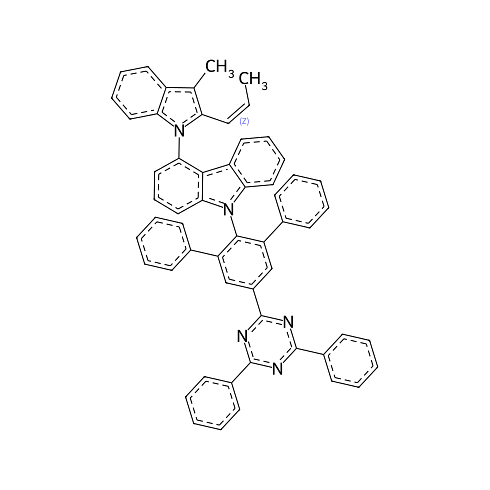 C/C=C\c1c(C)c2ccccc2n1-c1cccc2c1c1ccccc1n2-c1c(-c2ccccc2)cc(-c2nc(-c3ccccc3)nc(-c3ccccc3)n2)cc1-c1ccccc1